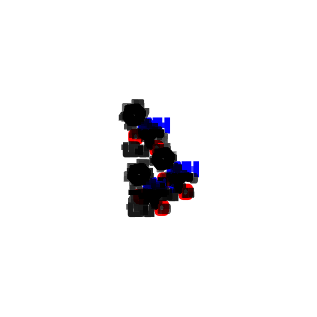 Cc1[nH]n(-c2ccccc2)c(=O)c1C(=O)C(C)(C)C.Cc1[nH]n(-c2ccccc2)c(=O)c1C(=O)C(C)(C)C.Cc1[nH]n(-c2ccccc2)c(=O)c1C(=O)C(C)(C)C.[Tb]